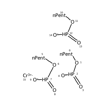 CCCCCO[PH](=O)[O-].CCCCCO[PH](=O)[O-].CCCCCO[PH](=O)[O-].[Cr+3]